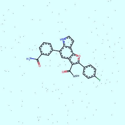 CNC(=O)c1c(-c2ccc(F)cc2)oc2c1cc(-c1cccc(C(N)=O)c1)c1[nH]ccc12